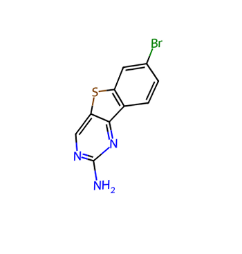 Nc1ncc2sc3cc(Br)ccc3c2n1